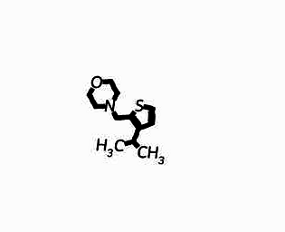 CC(C)c1ccsc1CN1CCOCC1